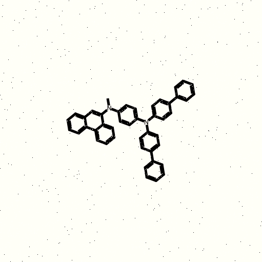 CN(c1ccc(N(c2ccc(-c3ccccc3)cc2)c2ccc(-c3ccccc3)cc2)cc1)c1cc2ccccc2c2ccccc12